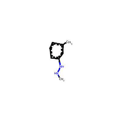 CNNc1cccc(C)c1